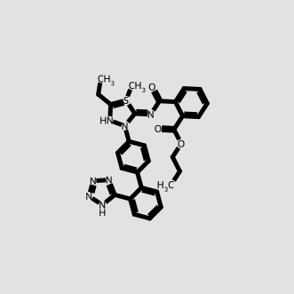 CCCOC(=O)c1ccccc1C(=O)N=C1N(c2ccc(-c3ccccc3-c3nnn[nH]3)cc2)NC(CC)=S1C